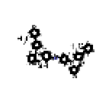 Cc1ccccc1-c1ccc(N(c2ccc(/C=C/c3ccc(N(c4ccc(-c5ccccc5C)cc4)c4ccccc4C=N)cc3)cc2)c2ccccc2C#N)cc1